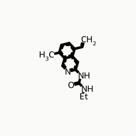 C=Cc1ccc(C)c2cnc(NC(=O)NCC)cc12